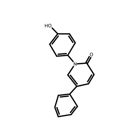 O=c1ccc(-c2ccccc2)cn1-c1ccc(O)cc1